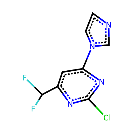 FC(F)c1cc(-n2ccnc2)nc(Cl)n1